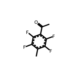 CC(=O)c1c(F)c(F)c(C)c(F)c1F